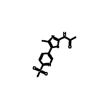 CC(=O)Nc1nc(C)c(-c2ccc(S(C)(=O)=O)nc2)s1